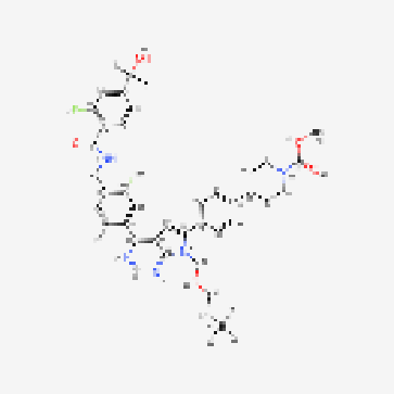 Cc1cc(CNC(=O)c2ccc(C(C)(C)O)cc2F)c(F)cc1-c1ncnc2c1cc(-c1ccc(C3CCN(C(=O)OC(C)(C)C)CC3)cc1)n2COCC[Si](C)(C)C